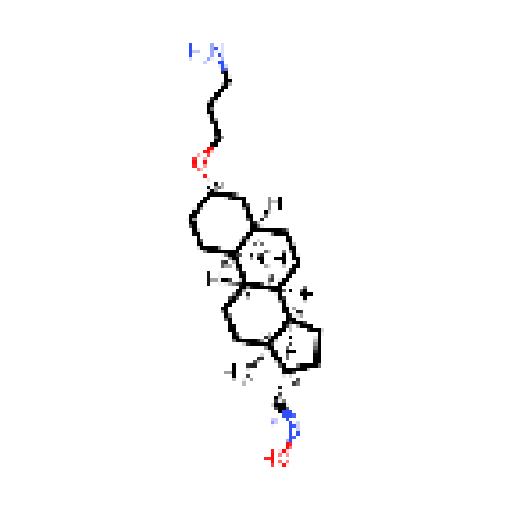 C[C@]12CC[C@H]3[C@@H](CC[C@@H]4C[C@@H](OCCCN)CC[C@@]43C)[C@H]1CC[C@@H]2/C=N/O